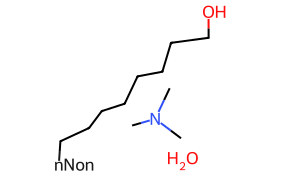 CCCCCCCCCCCCCCCCCO.CN(C)C.O